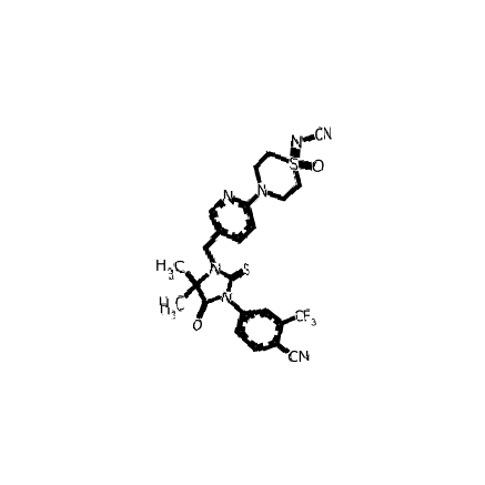 CC1(C)C(=O)N(c2ccc(C#N)c(C(F)(F)F)c2)C(=S)N1Cc1ccc(N2CCS(=O)(=NC#N)CC2)nc1